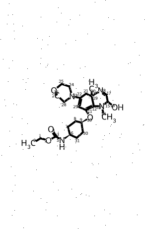 CCOC(=O)N[C@H]1CC[C@@H](OC2=C3N(C)C(O)C=NC3(C)CC(N3CCOCC3)=C2)CC1